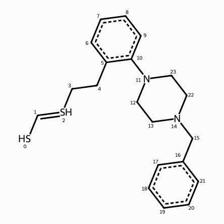 SC=[SH]CCc1ccccc1N1CCN(Cc2ccccc2)CC1